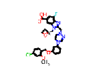 COc1cc(Cl)ccc1COc1cccc(N2C=NN(Cc3nc4c(F)cc(C(=O)O)cc4n3C[C@@H]3CCO3)CC2)c1